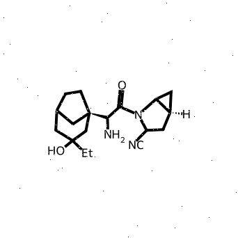 CCC1(O)CC2CC[C@@](C(N)C(=O)N3C(C#N)C[C@@H]4CC43)(C2)C1